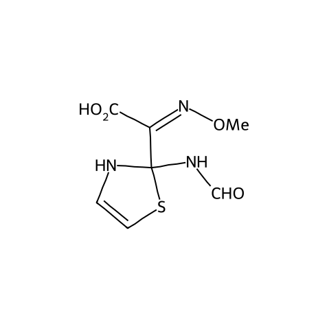 CO/N=C(/C(=O)O)C1(NC=O)NC=CS1